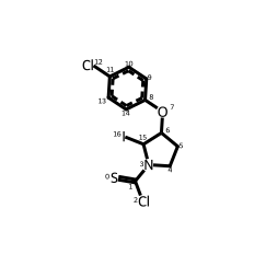 S=C(Cl)N1CCC(Oc2ccc(Cl)cc2)C1I